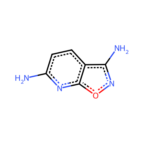 Nc1ccc2c(N)noc2n1